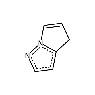 C1=Cn2nccc2C1